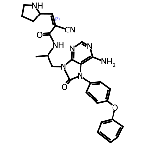 CC(Cn1c(=O)n(-c2ccc(Oc3ccccc3)cc2)c2c(N)ncnc21)NC(=O)/C(C#N)=C\C1CCCN1